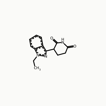 CCn1nc(C2CCC(=O)NC2=O)c2ccccc21